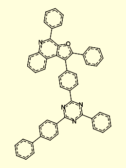 c1ccc(-c2ccc(-c3nc(-c4ccccc4)nc(-c4ccc(-c5c(-c6ccccc6)oc6c(-c7ccccc7)nc7ccccc7c56)cc4)n3)cc2)cc1